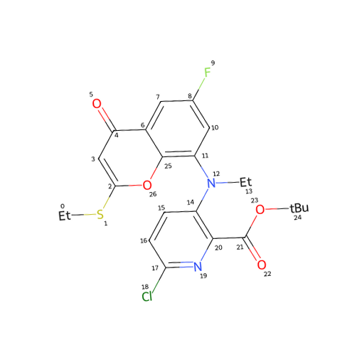 CCSc1cc(=O)c2cc(F)cc(N(CC)c3ccc(Cl)nc3C(=O)OC(C)(C)C)c2o1